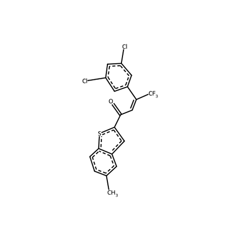 Cc1ccc2sc(C(=O)C=C(c3cc(Cl)cc(Cl)c3)C(F)(F)F)cc2c1